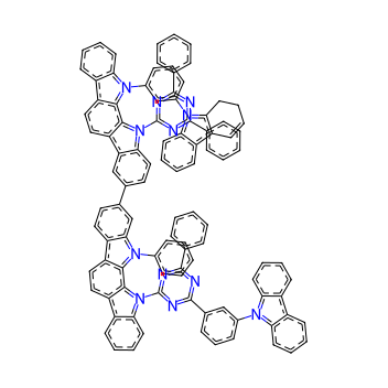 C1=Cc2c(n(-c3cccc(-n4c5ccccc5c5ccc6c7cc(-c8ccc9c%10ccc%11c%12ccccc%12n(-c%12nc(-c%13ccccc%13)nc(-c%13cccc(-n%14c%15ccccc%15c%15ccccc%15%14)c%13)n%12)c%11c%10n(-c%10ccccc%10)c9c8)ccc7n(-c7nc(-c8ccccc8)nc(-c8ccccc8)n7)c6c54)c3)c3ccccc23)CC1